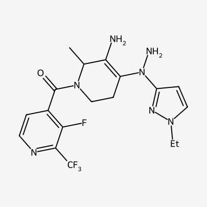 CCn1ccc(N(N)C2=C(N)C(C)N(C(=O)c3ccnc(C(F)(F)F)c3F)CC2)n1